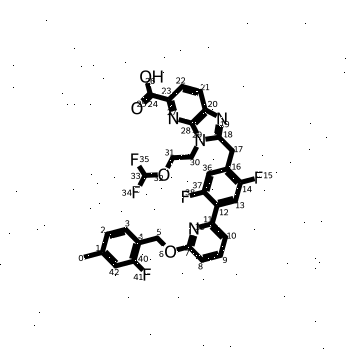 Cc1ccc(COc2cccc(-c3cc(F)c(Cc4nc5ccc(C(=O)O)nc5n4CCOC(F)F)cc3F)n2)c(F)c1